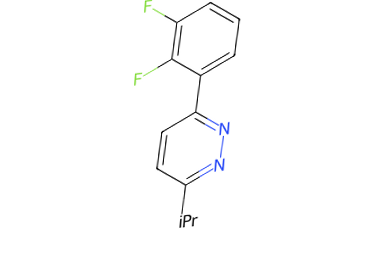 CC(C)c1ccc(-c2cccc(F)c2F)nn1